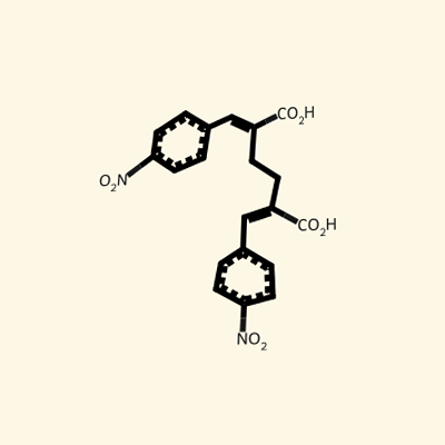 O=C(O)C(=Cc1ccc([N+](=O)[O-])cc1)CCC(=Cc1ccc([N+](=O)[O-])cc1)C(=O)O